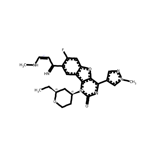 CC[C@H]1C[C@@H](n2c(=O)nc(-c3cnn(C)c3)c3oc4cc(F)c(C(=N)/C=C\NC)cc4c32)CCO1